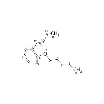 CCCCCOc1ccccc1/[C]=C/SC